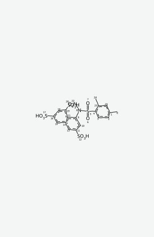 Cc1ccc(S(=O)(=O)N(c2cc(S(=O)(=O)O)cc3cc(S(=O)(=O)O)cc(S(=O)(=O)O)c23)[N+](=O)[O-])c(C)c1